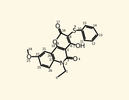 CCn1c(=O)c2c(O)c(Sc3ccccc3)c(=O)oc2c2cc(OC)ccc21